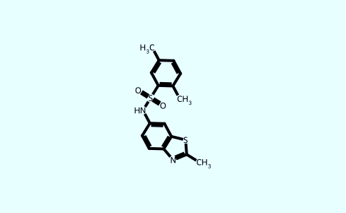 Cc1ccc(C)c(S(=O)(=O)Nc2ccc3nc(C)sc3c2)c1